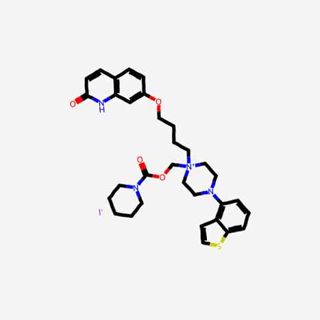 O=C(OC[N+]1(CCCCOc2ccc3ccc(=O)[nH]c3c2)CCN(c2cccc3sccc23)CC1)N1CCCCC1.[I-]